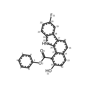 O=C(Oc1ccccc1)c1c(O)ccc2ccc3c4cc(F)ccc4[nH]c3c12